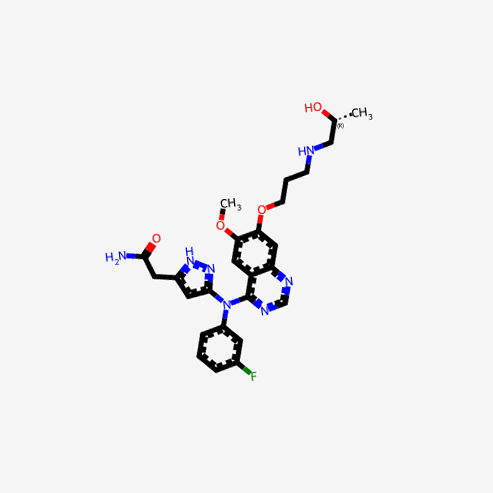 COc1cc2c(N(c3cccc(F)c3)c3cc(CC(N)=O)[nH]n3)ncnc2cc1OCCCNC[C@@H](C)O